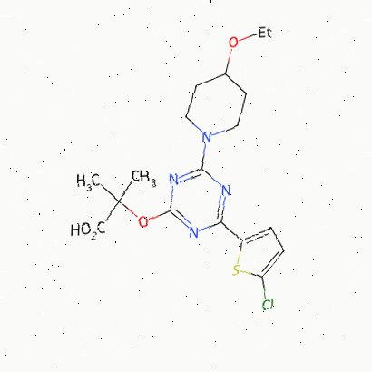 CCOC1CCN(c2nc(OC(C)(C)C(=O)O)nc(-c3ccc(Cl)s3)n2)CC1